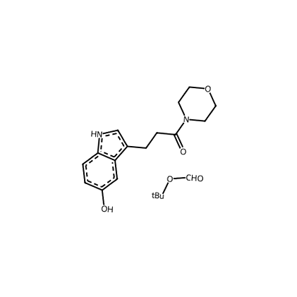 CC(C)(C)OC=O.O=C(CCc1c[nH]c2ccc(O)cc12)N1CCOCC1